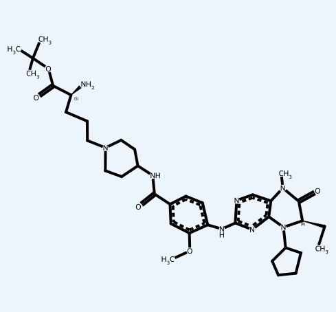 CC[C@@H]1C(=O)N(C)c2cnc(Nc3ccc(C(=O)NC4CCN(CCC[C@H](N)C(=O)OC(C)(C)C)CC4)cc3OC)nc2N1C1CCCC1